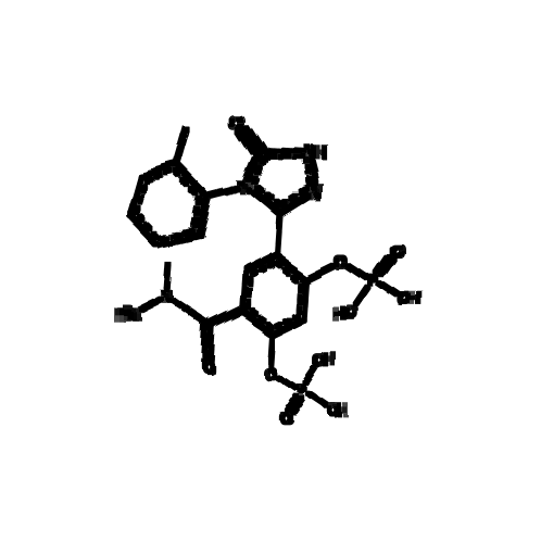 CCCCN(C)C(=O)c1cc(-c2n[nH]c(=O)n2-c2ccccc2C)c(OP(=O)(O)O)cc1OP(=O)(O)O